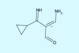 N=C(/C(C=O)=C\N)C1CC1